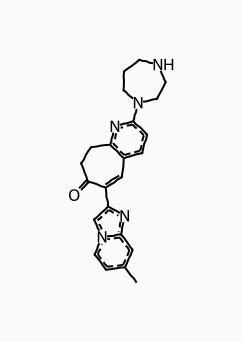 Cc1ccn2cc(C3=Cc4ccc(N5CCCNCC5)nc4CCC3=O)nc2c1